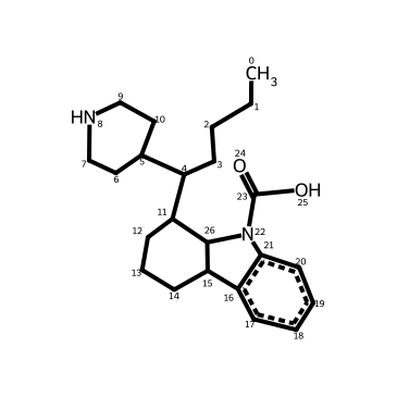 CCCCC(C1CCNCC1)C1CCCC2c3ccccc3N(C(=O)O)C21